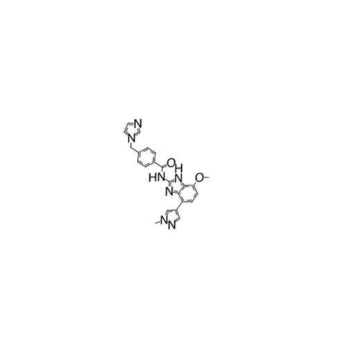 COc1ccc(-c2cnn(C)c2)c2nc(NC(=O)c3ccc(Cn4ccnc4)cc3)[nH]c12